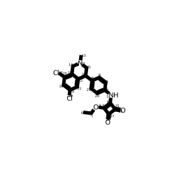 CCOc1c(Nc2ccc(C3CN(C)Cc4c(Cl)cc(Cl)cc43)cc2)c(=O)c1=O